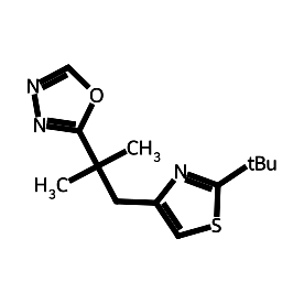 CC(C)(C)c1nc(CC(C)(C)c2nnco2)cs1